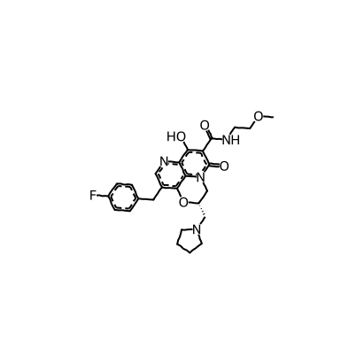 COCCNC(=O)c1c(O)c2ncc(Cc3ccc(F)cc3)c3c2n(c1=O)C[C@H](CN1CCCC1)O3